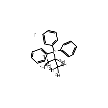 [2H]C([2H])([2H])C([2H])(C([2H])([2H])[2H])[P+](c1ccccc1)(c1ccccc1)c1ccccc1.[I-]